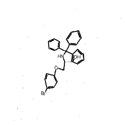 OC[C@H](COc1ccc(Br)cc1)NC(c1ccccc1)(c1ccccc1)c1ccccc1